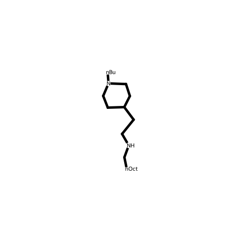 CCCCCCCCCNCCC1CCN(CCCC)CC1